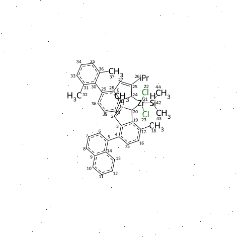 CC1=Cc2c(-c3cccc4ccccc34)ccc(C)c2[CH]1[Zr]([Cl])([Cl])([CH]1C(C(C)C)=Cc2c(-c3c(C)cccc3C)cccc21)[SiH](C)C